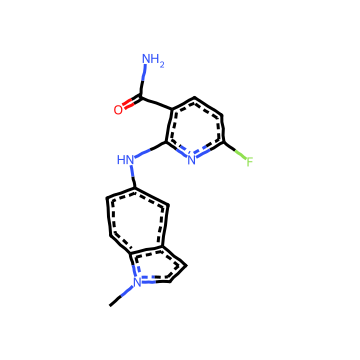 Cn1ccc2cc(Nc3nc(F)ccc3C(N)=O)ccc21